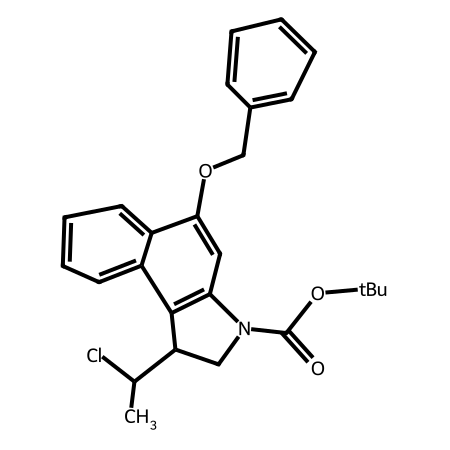 CC(Cl)C1CN(C(=O)OC(C)(C)C)c2cc(OCc3ccccc3)c3ccccc3c21